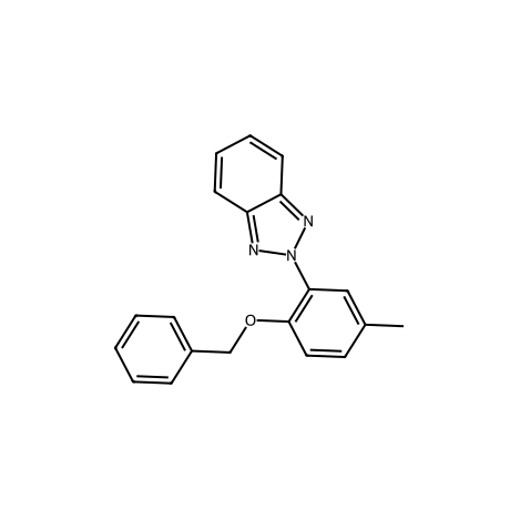 Cc1ccc(OCc2ccccc2)c(-n2nc3ccccc3n2)c1